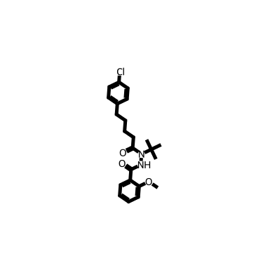 COc1ccccc1C(=O)NN(C(=O)CCCCc1ccc(Cl)cc1)C(C)(C)C